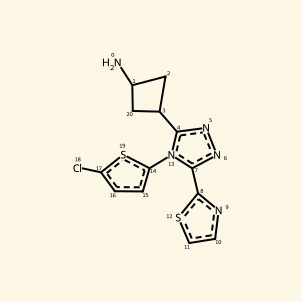 NC1CC(c2nnc(-c3nccs3)n2-c2ccc(Cl)s2)C1